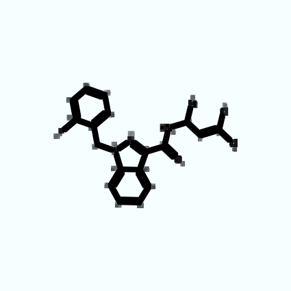 CCC(C=C(Cl)Cl)NC(=O)c1nn(Cc2ccccc2F)c2ccccc12